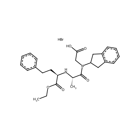 Br.CCOC(=O)[C@@H](CCc1ccccc1)N[C@@H](C)C(=O)N(CC(=O)O)C1Cc2ccccc2C1